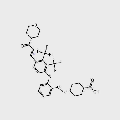 O=C(/C=C/c1ccc(Sc2ccccc2OC[C@H]2CC[C@@H](C(=O)O)CC2)c(C(F)(F)F)c1C(F)(F)F)N1CCOCC1